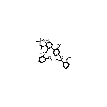 COc1ccccc1NCc1c(-c2ccc(OC(=O)c3ccccc3SC)cc2OC)ccc2c1C(C)=CC(C)(C)N2